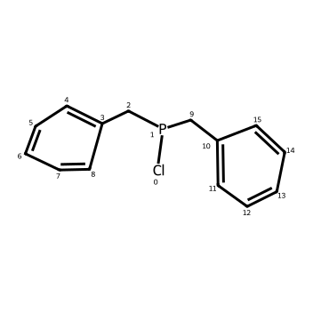 ClP(Cc1ccccc1)Cc1ccccc1